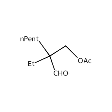 CCCCCC([C]=O)(CC)COC(C)=O